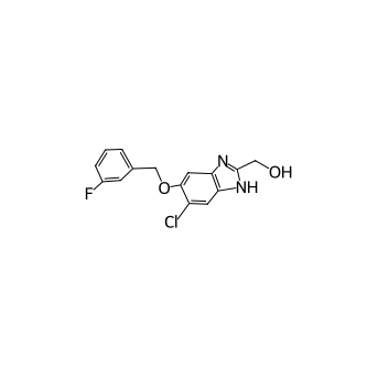 OCc1nc2cc(OCc3cccc(F)c3)c(Cl)cc2[nH]1